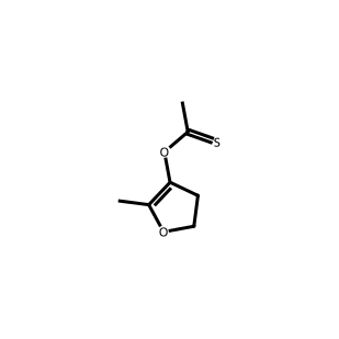 CC(=S)OC1=C(C)OCC1